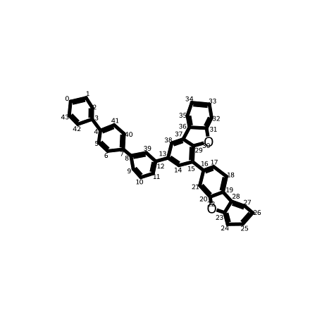 c1ccc(-c2ccc(-c3cccc(-c4cc(-c5ccc6c(c5)oc5ccccc56)c5oc6ccccc6c5c4)c3)cc2)cc1